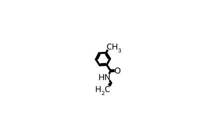 C=CNC(=O)c1cccc(C)c1